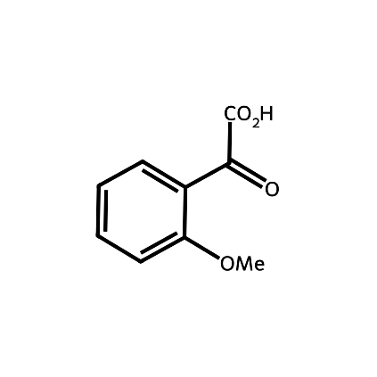 COc1ccccc1C(=O)C(=O)O